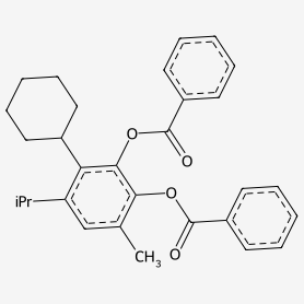 Cc1cc(C(C)C)c(C2CCCCC2)c(OC(=O)c2ccccc2)c1OC(=O)c1ccccc1